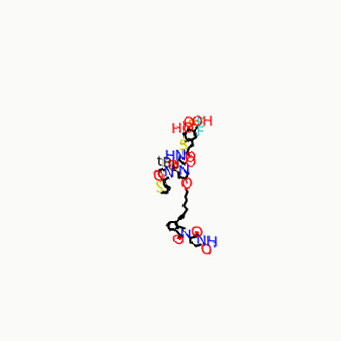 CC(C)(C)[C@H](NC(=O)c1cc2cc(C(F)(F)P(=O)(O)O)ccc2s1)C(=O)N1C[C@@H](OCCCCCCC#Cc2cccc3c2CN(C2CCC(=O)NC2=O)C3=O)C[C@H]1C(=O)N1CCOC(c2cccs2)C1